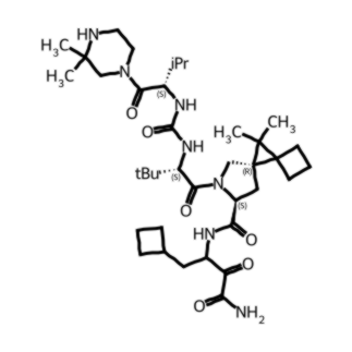 CC(C)[C@H](NC(=O)N[C@H](C(=O)N1C[C@]2(C[C@H]1C(=O)NC(CC1CCC1)C(=O)C(N)=O)C(C)(C)C21CCC1)C(C)(C)C)C(=O)N1CCNC(C)(C)C1